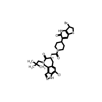 CC(C)(C)CN1Cc2c(cc(Cl)c3[nH]ncc23)C[C@@H](CC(=O)N2CCC(c3cc4c([nH]c3=O)C(Br)CS4)CC2)C1=O